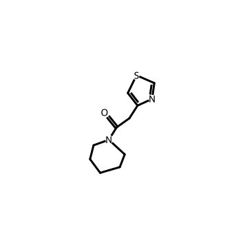 O=C(Cc1cscn1)N1CCCCC1